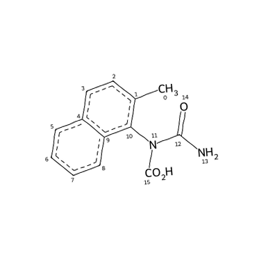 Cc1ccc2ccccc2c1N(C(N)=O)C(=O)O